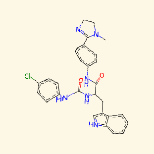 CN1CCN=C1c1ccc(NC(=O)C(Cc2c[nH]c3ccccc23)NC(=O)Nc2ccc(Cl)cc2)cc1